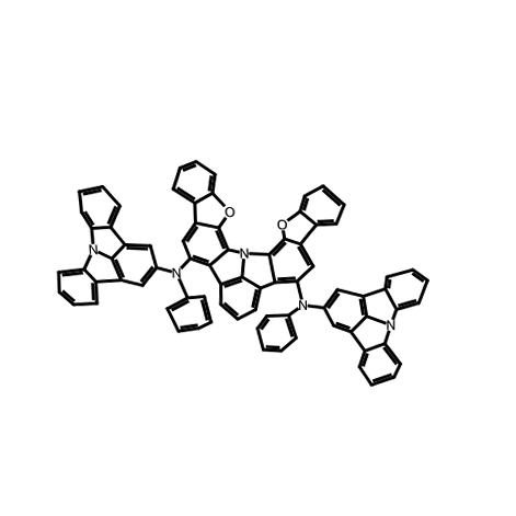 c1ccc(N(c2cc3c4ccccc4n4c5ccccc5c(c2)c34)c2cc3c4ccccc4oc3c3c2c2cccc4c5c(N(c6ccccc6)c6cc7c8ccccc8n8c9ccccc9c(c6)c78)cc6c7ccccc7oc6c5n3c24)cc1